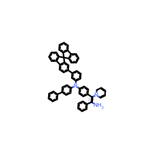 N/C(=C(/c1ccc(N(c2ccc(-c3ccccc3)cc2)c2cccc(-c3ccc4c(c3)C3(c5ccccc5-c5ccccc53)c3ccccc3-4)c2)cc1)N1C=CC=CC1)c1ccccc1